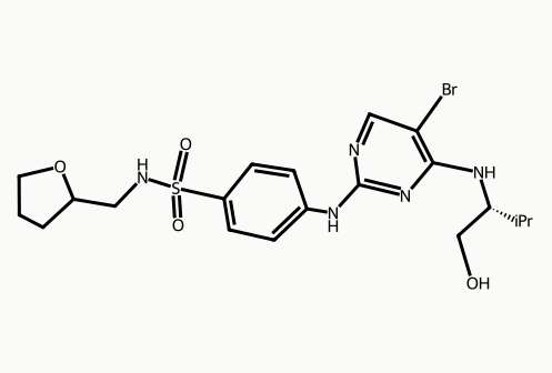 CC(C)[C@H](CO)Nc1nc(Nc2ccc(S(=O)(=O)NCC3CCCO3)cc2)ncc1Br